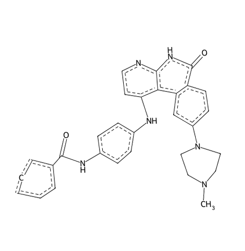 CN1CCN(c2ccc3c(=O)[nH]c4nccc(Nc5ccc(NC(=O)c6ccccc6)cc5)c4c3c2)CC1